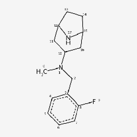 CN(Cc1ccccc1F)C1CC2CCC(C1)N2